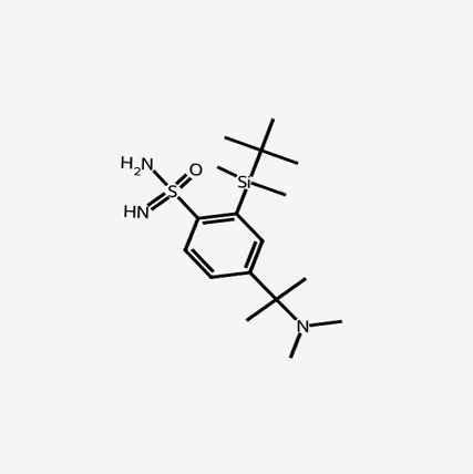 CN(C)C(C)(C)c1ccc(S(=N)(N)=O)c([Si](C)(C)C(C)(C)C)c1